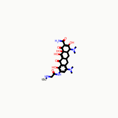 CN(C)c1cc(NC(=O)CNC(C)(C)C)c(O)c2c1CC1CC3C(N(C)C)C(O)=C(C(N)=O)C(=O)C3(O)C(O)=C1C2=O